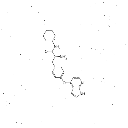 N[C@@H](Cc1ccc(Oc2ccnc3[nH]ccc23)cc1)C(=O)NC1CCCCC1